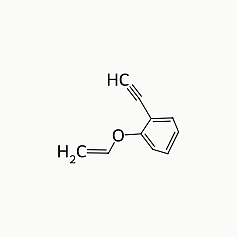 C#Cc1ccccc1OC=C